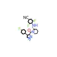 Cn1cc(-c2ccc(F)cc2)c(C(=O)N2CCCC[C@H]2CNc2c(F)cc(C#N)cc2F)n1